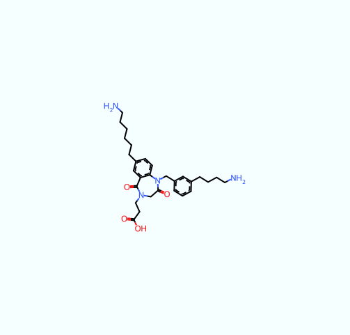 NCCCCCCc1ccc2c(c1)C(=O)N(CCC(=O)O)CC(=O)N2Cc1cccc(CCCCN)c1